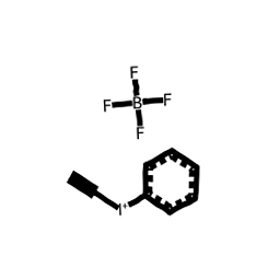 C#C[I+]c1ccccc1.F[B-](F)(F)F